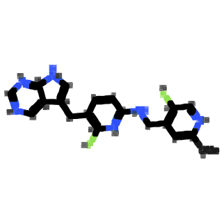 COc1cc(CNc2ccc(Cc3c[nH]c4ncncc34)c(F)n2)c(F)cn1